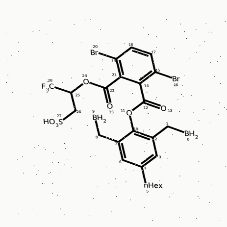 BCc1cc(CCCCCC)cc(CB)c1OC(=O)c1c(Br)ccc(Br)c1C(=O)OC(CS(=O)(=O)O)C(F)(F)F